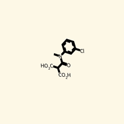 CN(C(=O)C(C(=O)O)C(=O)O)c1cccc(Cl)c1